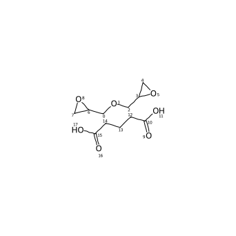 C(OCC1CO1)C1CO1.O=C(O)CCCC(=O)O